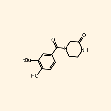 CC(C)(C)c1cc(C(=O)N2CCNC(=O)C2)ccc1O